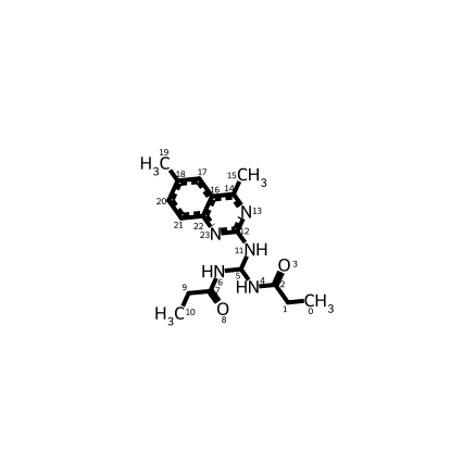 CCC(=O)NC(NC(=O)CC)Nc1nc(C)c2cc(C)ccc2n1